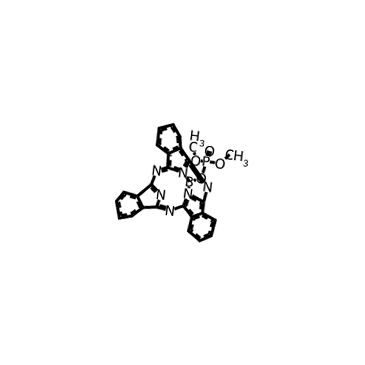 COP(=O)(OC)OB1n2c3c4ccccc4c2/N=C2N=C(/N=c4/c5ccccc5c(n41)=N3)c1ccccc1\2